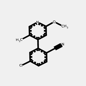 COc1cc(-c2cc(Cl)ccc2C#N)c(C)cn1